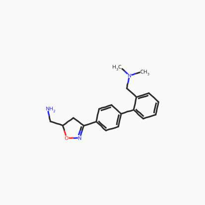 CN(C)Cc1ccccc1-c1ccc(C2=NOC(CN)C2)cc1